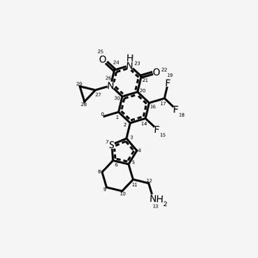 Cc1c(-c2cc3c(s2)CCCC3CN)c(F)c(C(F)F)c2c(=O)[nH]c(=O)n(C3CC3)c12